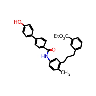 CCOC(=O)c1cccc(CCCc2cc(NC(=O)c3ccc(-c4ccc(O)cc4)cc3)ccc2C)c1